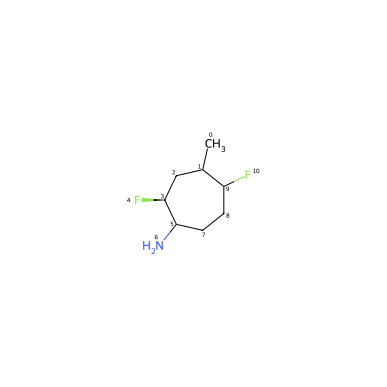 CC1C[C@H](F)C(N)CCC1F